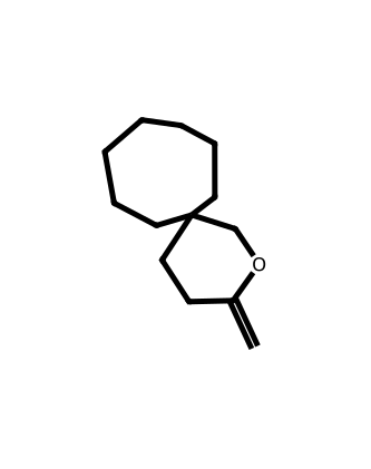 C=C1CCC2(CCCCCCC2)CO1